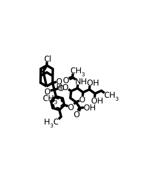 CCc1ccc(C2(OC)OOC23C2CC4CC3CC(Cl)(C4)C2)cc1OC1(C(=O)O)CC(O)C(NC(C)=O)C(C(O)C(O)CC)O1